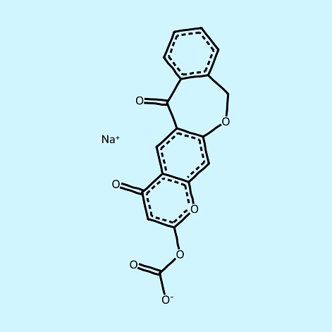 O=C([O-])Oc1cc(=O)c2cc3c(cc2o1)OCc1ccccc1C3=O.[Na+]